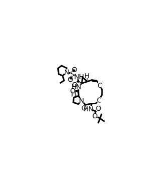 CCC1CCCCN1S(=O)(=O)NC(=O)[C@@]12C[C@H]1/C=C\CCCCCC(NC(=O)OC(C)(C)C)C(=O)N1CCC[C@H]1C(=O)N2